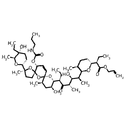 C=CCOC(=O)[C@H](CC)[C@H]1CC[C@H](C)[C@H]([C@@H](C)[C@H](O)[C@H](C)C(=O)[C@H](CC)[C@H]2O[C@]3(C=C[C@@H](OC(=O)NCCC)[C@]4(CC[C@@](C)([C@H]5CC[C@](O)(CC)[C@H](C)O5)O4)O3)[C@H](C)C[C@@H]2C)O1